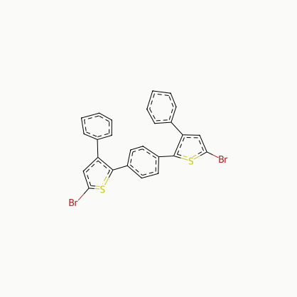 Brc1cc(-c2ccccc2)c(-c2ccc(-c3sc(Br)cc3-c3ccccc3)cc2)s1